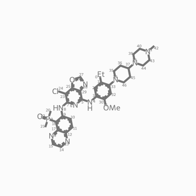 CCc1cc(Nc2nc(Nc3ccc4nccnc4c3P(C)(C)=O)c(Cl)c3ocnc23)c(OC)cc1N1CCC(N2CCN(C)CC2)CC1